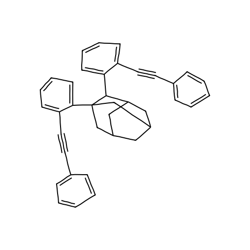 C(#Cc1ccccc1C1C2CC3CC(C2)CC1(c1ccccc1C#Cc1ccccc1)C3)c1ccccc1